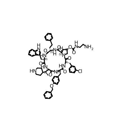 C[C@@H](C1CCNCC1)[C@@H]1NC(=O)[C@@H](Cc2c[nH]c3ccccc23)NC(=O)[C@H](CCc2ccccc2)NC(=O)[C@@H]2C[C@@H](OC(=O)NCCN)CN2C(=O)[C@H](Cc2cccc(Cl)c2)NC(=O)[C@H](Cc2ccc(OCc3ccccc3)cc2)NC1=O